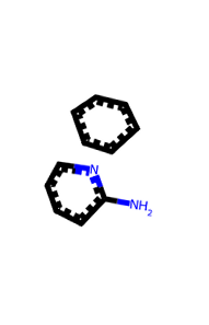 Nc1ccccn1.c1ccccc1